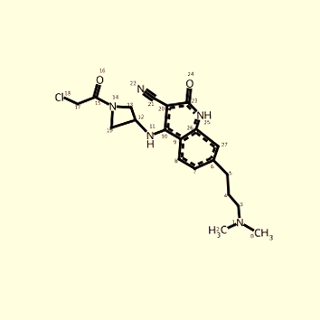 CN(C)CCCc1ccc2c(NC3CN(C(=O)CCl)C3)c(C#N)c(=O)[nH]c2c1